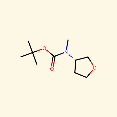 CN(C(=O)OC(C)(C)C)[C@H]1CCOC1